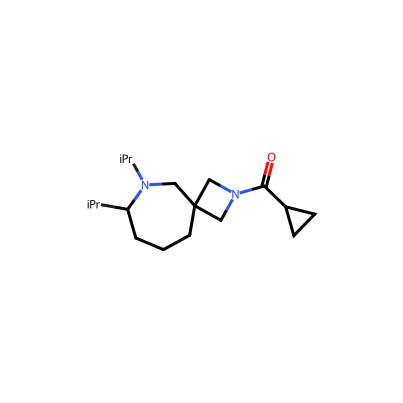 CC(C)C1CCCC2(CN(C(=O)C3CC3)C2)CN1C(C)C